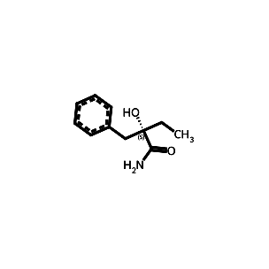 CC[C@](O)(Cc1ccccc1)C(N)=O